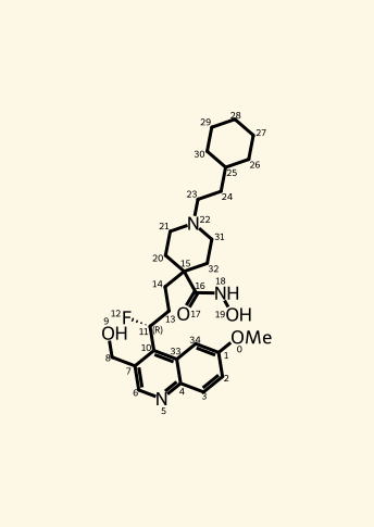 COc1ccc2ncc(CO)c([C@H](F)CCC3(C(=O)NO)CCN(CCC4CCCCC4)CC3)c2c1